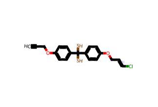 C#CCOc1ccc(C(S)(S)c2ccc(OC/C=C/Cl)cc2)cc1